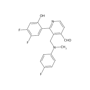 CN(Cc1c(C=O)ccnc1-c1cc(F)c(F)cc1O)c1ccc(F)cc1